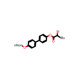 CCCCCCCCCOc1ccc(-c2ccc(OC(=O)C(Br)C(C)CC)cc2)cc1